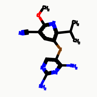 COc1nc(C(C)C)c(Sc2cnc(N)nc2N)cc1C#N